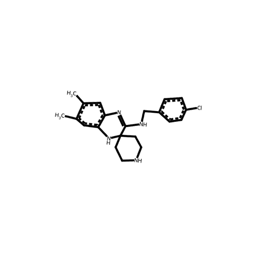 Cc1cc2c(cc1C)NC1(CCNCC1)C(NCc1ccc(Cl)cc1)=N2